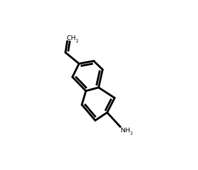 C=Cc1ccc2cc(N)ccc2c1